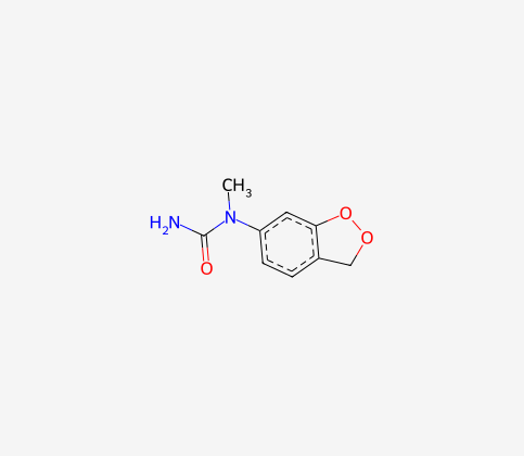 CN(C(N)=O)c1ccc2c(c1)OOC2